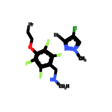 CC(C)CCOc1c(F)c(F)c(CNC(=O)O)c(F)c1F.CCc1nn(C)cc1Cl